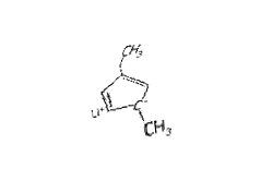 Cc1cc[c-](C)c1.[Li+]